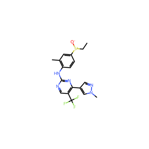 CC[S+]([O-])c1ccc(Nc2ncc(C(F)(F)F)c(-c3cnn(C)c3)n2)c(C)c1